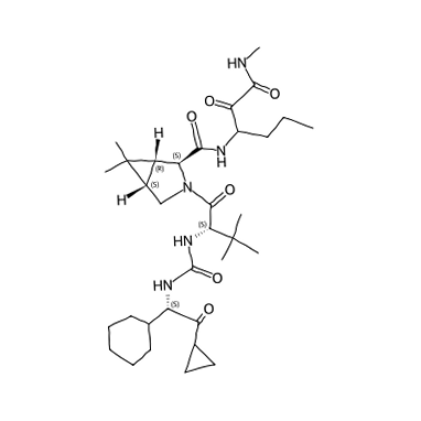 CCCC(NC(=O)[C@@H]1[C@@H]2[C@H](CN1C(=O)[C@@H](NC(=O)N[C@H](C(=O)C1CC1)C1CCCCC1)C(C)(C)C)C2(C)C)C(=O)C(=O)NC